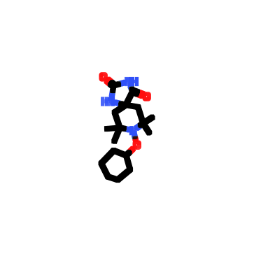 CC1(C)CC2(CC(C)(C)N1OC1CCCCC1)NC(=O)NC2=O